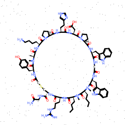 CCCC[C@H]1C(=O)N(C)[C@@H](CCCC)C(=O)N[C@@H](CCCNC(=N)N)C(=O)N[C@H](C(=O)NCC(N)=O)CSCC(=O)N[C@@H](Cc2ccc(O)cc2)C(=O)N(C)[C@@H](C)C(=O)N[C@@H](CCCCN)C(=O)N2CCC[C@H]2C(=O)N[C@@H](CCc2c[nH]cn2)C(=O)N[C@@H](CC(=O)O)C(=O)N2CCC[C@H]2C(=O)N[C@@H](Cc2c[nH]c3ccccc23)C(=O)NCC(=O)N[C@@H](Cc2c[nH]c3ccccc23)C(=O)N1C